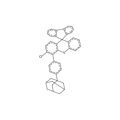 Clc1ccc2c(c1-c1ccc(C34CC5CC(CC(C5)C3)C4)cc1)Sc1ccccc1C21c2ccccc2-c2ccccc21